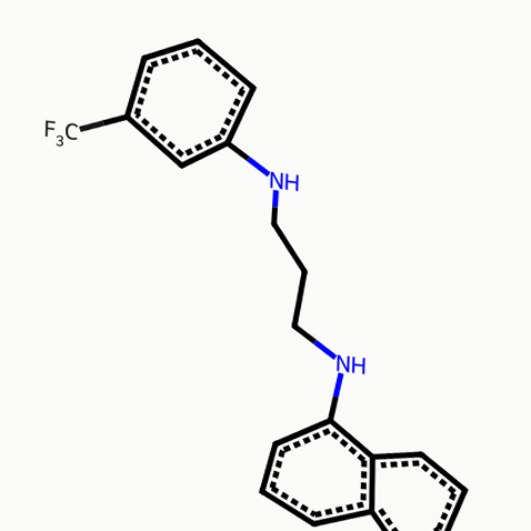 FC(F)(F)c1cccc(NCCCNc2cccc3ccccc23)c1